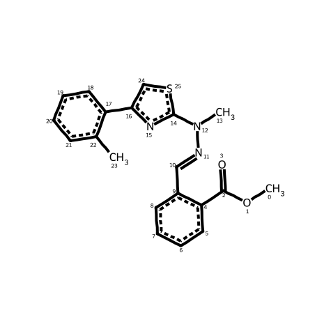 COC(=O)c1ccccc1/C=N/N(C)c1nc(-c2ccccc2C)cs1